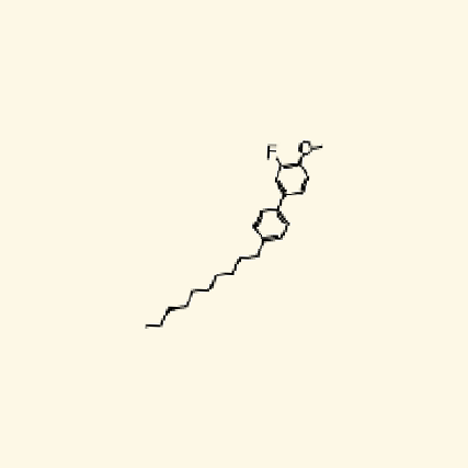 CCCCCCCCCCc1ccc(-c2ccc(OC)c(F)c2)cc1